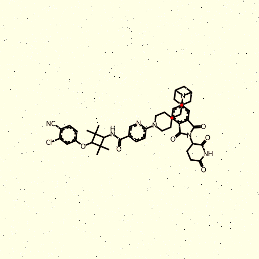 CC1(C)C(NC(=O)c2ccc(N3CCC(CN4CC5CC(C4)N5c4ccc5c(c4)C(=O)N(C4CCC(=O)NC4=O)C5=O)CC3)nc2)C(C)(C)C1Oc1ccc(C#N)c(Cl)c1